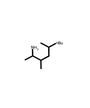 CCCCC(C)CC(C)C(C)N